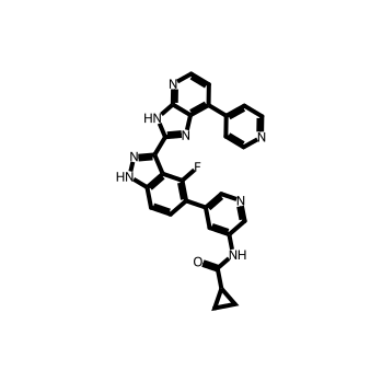 O=C(Nc1cncc(-c2ccc3[nH]nc(-c4nc5c(-c6ccncc6)ccnc5[nH]4)c3c2F)c1)C1CC1